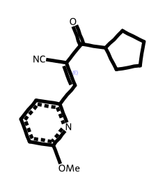 COc1cccc(/C=C(\C#N)C(=O)C2CCCC2)n1